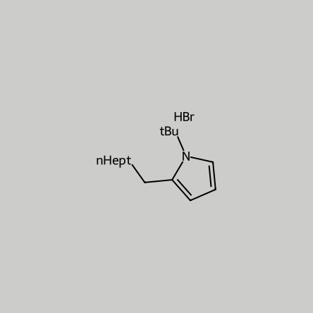 Br.CCCCCCCCc1cccn1C(C)(C)C